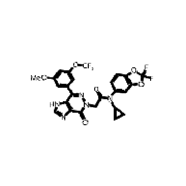 COc1cc(OC(F)(F)F)cc(-c2nn(CC(=O)N(c3ccc4c(c3)OC(F)(F)O4)C3CC3)c(=O)c3nc[nH]c23)c1